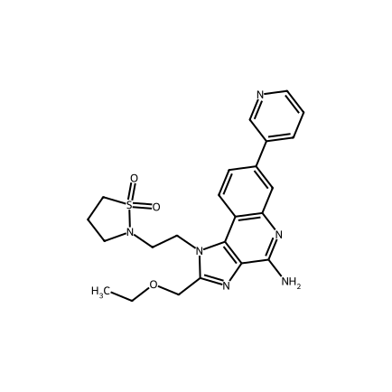 CCOCc1nc2c(N)nc3cc(-c4cccnc4)ccc3c2n1CCN1CCCS1(=O)=O